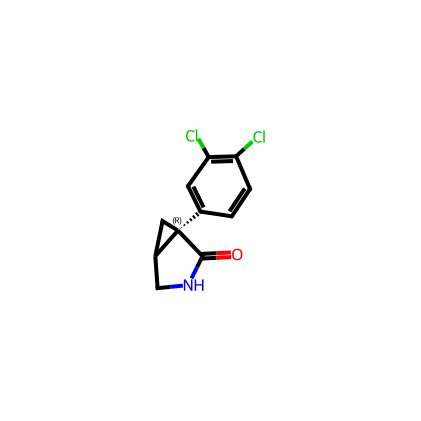 O=C1NCC2C[C@@]12c1ccc(Cl)c(Cl)c1